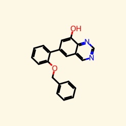 Oc1cc(-c2ccccc2OCc2ccccc2)cc2cncnc12